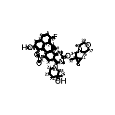 C#Cc1c(F)ccc2cc(O)cc(-c3c([N+](=O)[O-])cc4c(N5CCCC(C)(O)C5)nc(OCC5(CN6CCOCC6)CC5)nc4c3F)c12